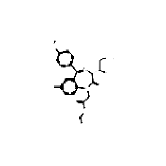 CCOC(=O)CN1C(=O)[C@H](C(C)CC)N=C(c2ccc(OC)cc2)c2cc(F)ccc21